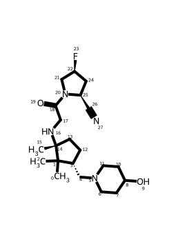 CC1(C)[C@@H](CN2CCC(O)CC2)CC[C@@]1(C)NCC(=O)N1C[C@@H](F)C[C@H]1C#N